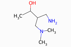 CC(O)C(CN)CN(C)C